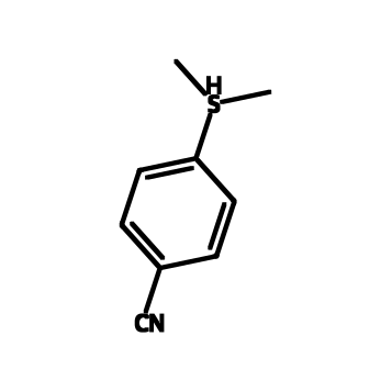 C[SH](C)c1ccc(C#N)cc1